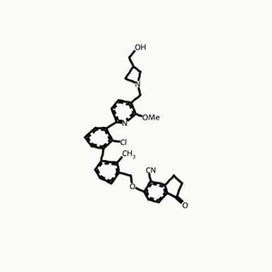 COc1nc(-c2cccc(-c3cccc(COc4ccc5c(c4C#N)CCC5=O)c3C)c2Cl)ccc1CN1CC(CO)C1